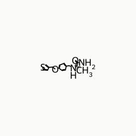 C[C@H](NCc1ccc(OCc2ccsc2)cc1)C(N)=O